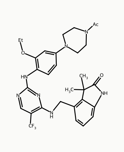 CCOc1cc(N2CCN(C(C)=O)CC2)ccc1Nc1ncc(C(F)(F)F)c(NCc2cccc3c2C(C)(C)C(=O)N3)n1